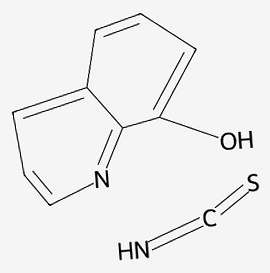 N=C=S.Oc1cccc2cccnc12